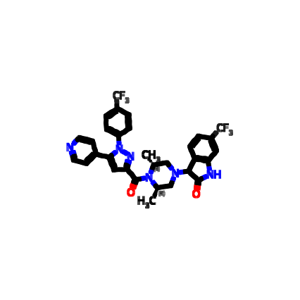 C[C@@H]1CN(C2C(=O)Nc3cc(C(F)(F)F)ccc32)C[C@@H](C)N1C(=O)c1cc(-c2ccncc2)n(-c2ccc(C(F)(F)F)cc2)n1